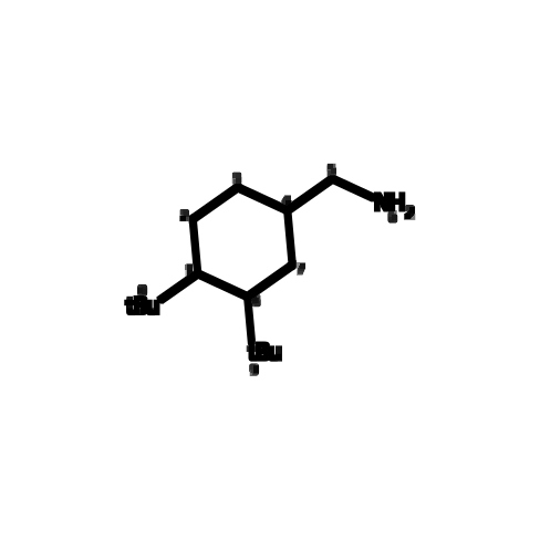 CC(C)(C)C1CCC(CN)CC1C(C)(C)C